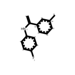 C=C(Nc1ccc(F)cc1)c1cccc(C)c1